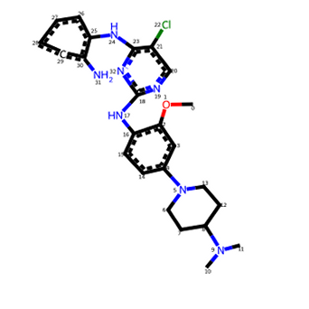 COc1cc(N2CCC(N(C)C)CC2)ccc1Nc1ncc(Cl)c(Nc2ccccc2N)n1